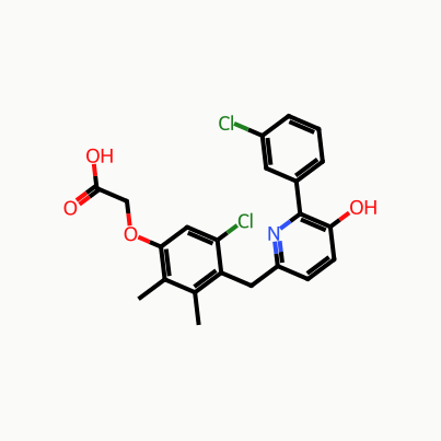 Cc1c(OCC(=O)O)cc(Cl)c(Cc2ccc(O)c(-c3cccc(Cl)c3)n2)c1C